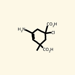 CC1(C(=O)O)C=C(N)CC(Cl)(C(=O)O)C1